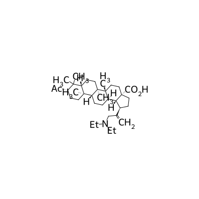 C=C(CN(CC)CC)[C@@H]1CC[C@]2(C(=O)O)CC[C@]3(C)[C@H](CC[C@@H]4[C@@]5(C)CC[C@H](C(C)=O)C(C)(C)[C@@H]5CC[C@]43C)[C@@H]12